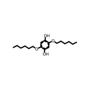 CCCCCCOc1cc(O)c(OCCCCCC)cc1O